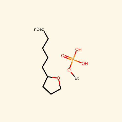 CCCCCCCCCCCCCCC1CCCO1.CCOP(=O)(O)O